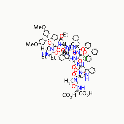 CCN[C@@H](CC)C(=O)N(C)[C@@H](COC(c1ccccc1)(c1ccc(OC)cc1)c1ccc(OC)cc1)C(=O)N1C[C@H](OCC)C[C@H]1C(=O)N[C@H](C(=O)N(C)[C@@H](Cc1ccccc1)C(=O)N[C@H](C(=O)N[C@@H](Cc1c[nH]c2ccccc12)C(=O)N[C@@H](Cc1c[nH]c2ccccc12)C(=O)N1CCC[C@H]1C(=O)N(C)CC(=O)N[C@@H](CC(=O)O)C(=O)O)C(Cl)OC(c1ccccc1)(c1ccccc1)c1ccccc1)[C@@H](C)CC